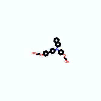 OCCOc1ccc(-c2ccc(N(c3ccc(OCCO)cc3)c3ccc4ccccc4c3)cc2)cc1